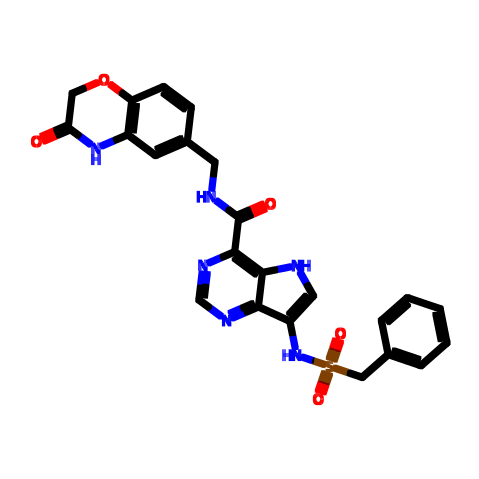 O=C1COc2ccc(CNC(=O)c3ncnc4c(NS(=O)(=O)Cc5ccccc5)c[nH]c34)cc2N1